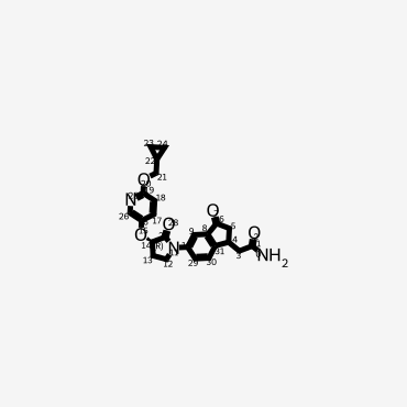 NC(=O)CC1CC(=O)c2cc(N3CC[C@@H](Oc4ccc(OCC5CC5)nc4)C3=O)ccc21